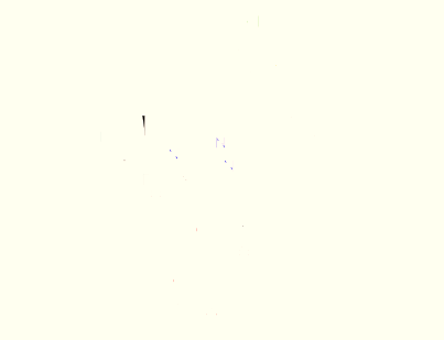 CC(=O)OCOc1c2n(ccc1=O)N([C@H]1c3cccc(F)c3CSc3c(Cl)cccc31)CN([C@H](C)C(F)(F)F)C2=O